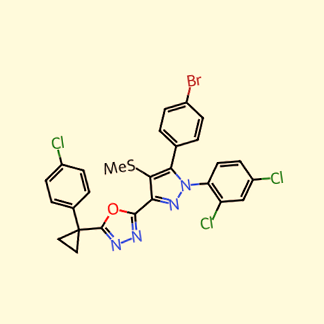 CSc1c(-c2nnc(C3(c4ccc(Cl)cc4)CC3)o2)nn(-c2ccc(Cl)cc2Cl)c1-c1ccc(Br)cc1